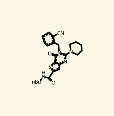 CCCCNC(=O)c1cc2nc(N3CCCCC3)n(Cc3ccccc3C#N)c(=O)c2s1